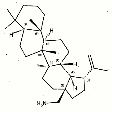 C=C(C)[C@@H]1CC[C@]2(CN)CC[C@]3(C)[C@H](CC[C@@H]4[C@@]5(C)CCCC(C)(C)[C@@H]5CC[C@]43C)[C@@H]12